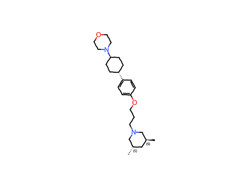 C[C@H]1C[C@H](C)CN(CCCOc2ccc([C@H]3CC[C@H](N4CCOCC4)CC3)cc2)C1